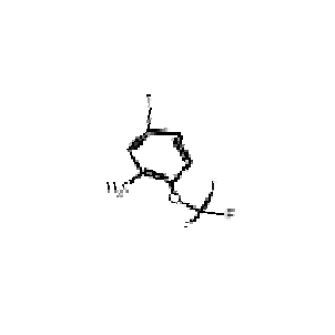 Cc1cc(F)ccc1OC(F)(F)F